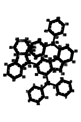 c1ccc(N(c2ccccc2)c2cc(-n3c4ccccc4c4ccccc43)cc3c2sc2cccc(N(c4ccccc4)c4ccccc4)c23)cc1